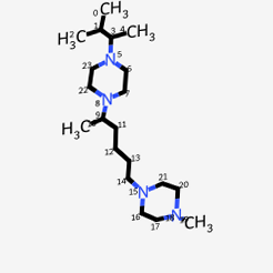 CC(C)C(C)N1CCN(C(C)CCCCN2CCN(C)CC2)CC1